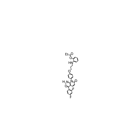 CCC(=O)Oc1ccccc1NCCCOc1ccc(-n2c(N)c(C(=O)c3ccc(F)cc3F)ccc2=O)cc1